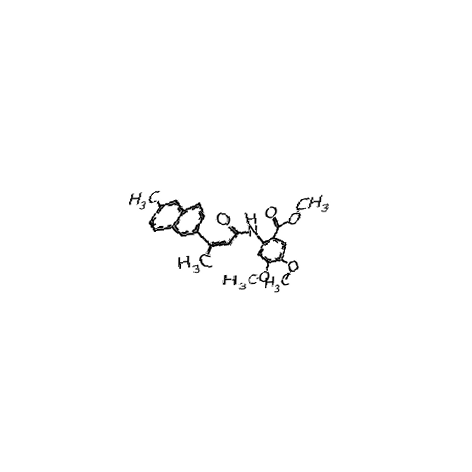 COC(=O)c1cc(OC)c(OC)cc1NC(=O)/C=C(/C)c1ccc2cc(C)ccc2c1